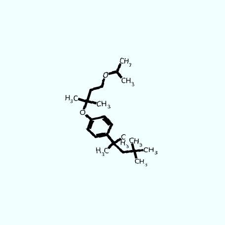 CC(C)OCCC(C)(C)Oc1ccc(C(C)(C)CC(C)(C)C)cc1